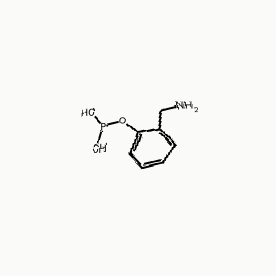 NCc1ccccc1OP(O)O